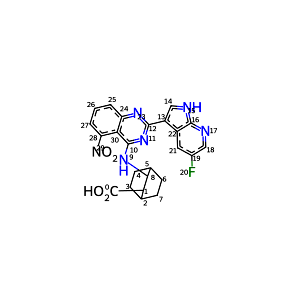 O=C(O)C1C2CCC(CC2)C1Nc1nc(-c2c[nH]c3ncc(F)cc23)nc2cccc([N+](=O)[O-])c12